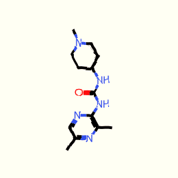 Cc1cnc(NC(=O)NC2CCN(C)CC2)c(C)n1